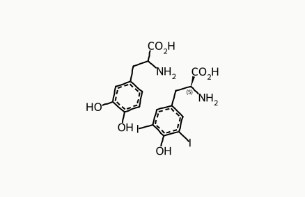 NC(Cc1ccc(O)c(O)c1)C(=O)O.N[C@@H](Cc1cc(I)c(O)c(I)c1)C(=O)O